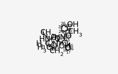 C=CCNC(=O)C1N(C(=O)C(O)C(Cc2ccccc2)NC(=O)c2cccc(O)c2C)CC(=C)C1(C)C